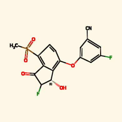 CS(=O)(=O)c1ccc(Oc2cc(F)cc(C#N)c2)c2c1C(=O)C(F)[C@H]2O